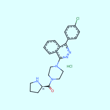 Cl.O=C([C@H]1CCCN1)N1CCN(c2nnc(-c3ccc(Cl)cc3)c3ccccc23)CC1